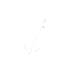 CCC1OC(OCCOCCOCCNC(=O)CCC(C)(C)S)C(O[Si](C)(C)C(C)(C)C)C(C)C1C